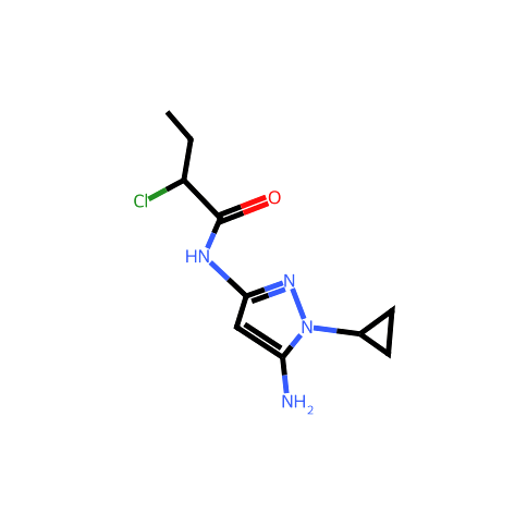 CCC(Cl)C(=O)Nc1cc(N)n(C2CC2)n1